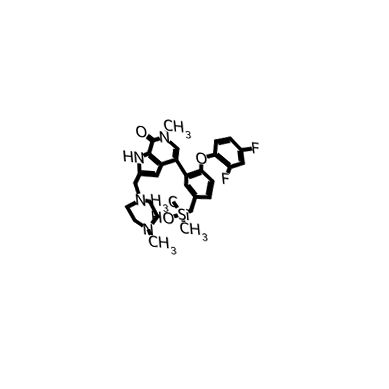 CN1CCN(Cc2cc3c(-c4cc(C[Si](C)(C)O)ccc4Oc4ccc(F)cc4F)cn(C)c(=O)c3[nH]2)CC1